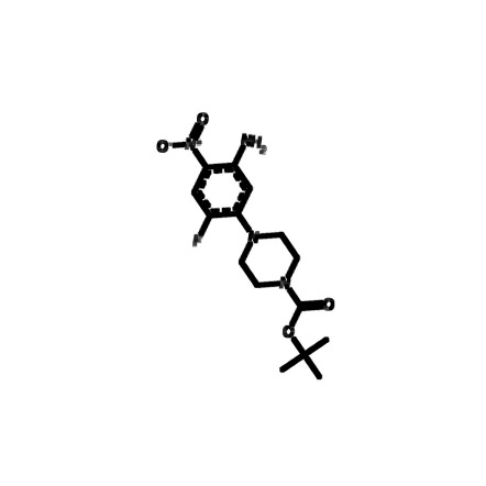 CC(C)(C)OC(=O)N1CCN(c2cc(N)c([N+](=O)[O-])cc2F)CC1